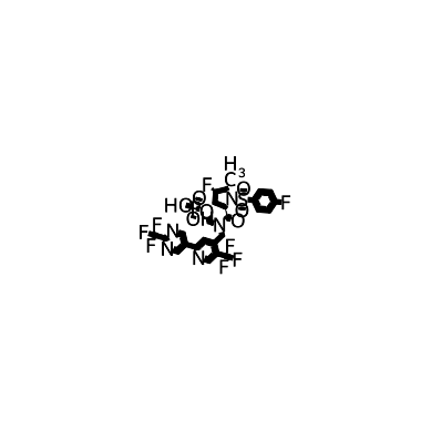 C[C@H]1[C@H](F)C[C@@H](C(=O)N(COP(=O)(O)O)Cc2cc(-c3cnc(C(F)(F)F)nc3)ncc2C(F)(F)F)N1S(=O)(=O)c1ccc(F)cc1